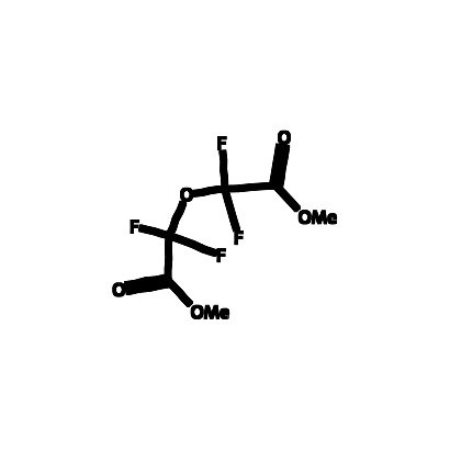 COC(=O)C(F)(F)OC(F)(F)C(=O)OC